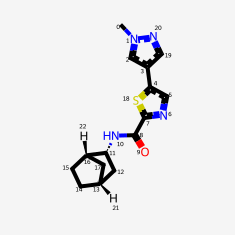 Cn1cc(-c2cnc(C(=O)N[C@@H]3C[C@@H]4CC[C@H]3C4)s2)cn1